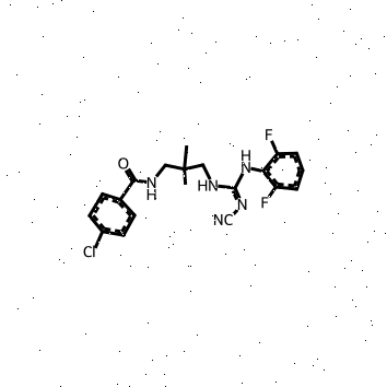 CC(C)(CNC(=O)c1ccc(Cl)cc1)CNC(=NC#N)Nc1c(F)cccc1F